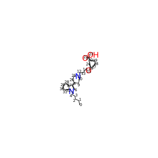 CCCCCn1cc(C2CCN(CCCOc3cccc(C(=O)O)c3)CC2)c2ccccc21